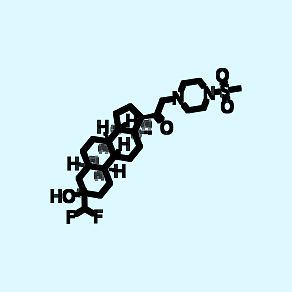 C[C@]12CC[C@H]3[C@@H](CC[C@@H]4C[C@@](O)(C(F)F)CC[C@@H]43)[C@@H]1CC[C@H]2C(=O)CN1CCN(S(C)(=O)=O)CC1